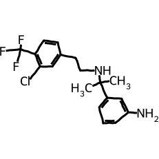 CC(C)(NCCc1ccc(C(F)(F)F)c(Cl)c1)c1cccc(N)c1